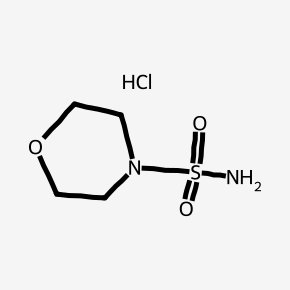 Cl.NS(=O)(=O)N1CCOCC1